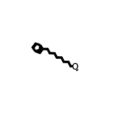 COCCCCCCCCC1CC2C=CC1C2